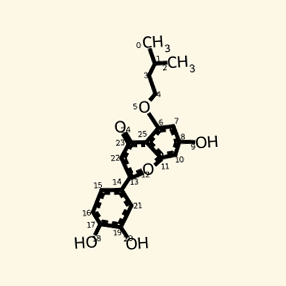 CC(C)CCOc1cc(O)cc2oc(-c3ccc(O)c(O)c3)cc(=O)c12